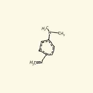 C=[C]c1ccc(N(C)C)cc1